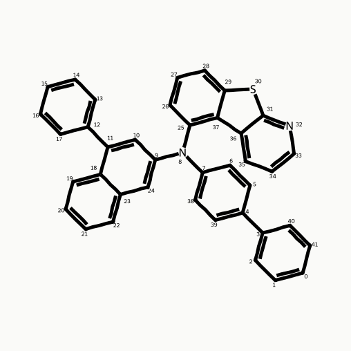 c1ccc(-c2ccc(N(c3cc(-c4ccccc4)c4ccccc4c3)c3cccc4sc5ncccc5c34)cc2)cc1